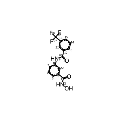 O=C(NO)c1cccc(NC(=O)c2cccc(C(F)(F)F)c2)c1